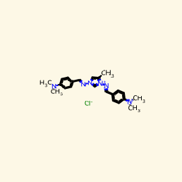 Cc1cn(N=Cc2ccc(N(C)C)cc2)c[n+]1N=Cc1ccc(N(C)C)cc1.[Cl-]